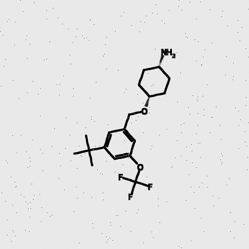 CC(C)(C)c1cc(CO[C@H]2CC[C@@H](N)CC2)cc(OC(F)(F)F)c1